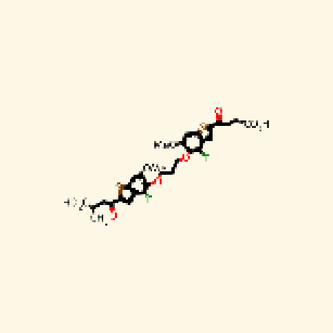 COc1cc2sc(C(=O)CCC(=O)O)cc2c(F)c1OCCCOc1c(OC)cc2sc(C(=O)CC(C)C(=O)O)cc2c1F